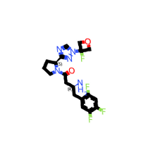 N[C@@H](CC(=O)N1CCC[C@H]1c1ncn(C2(F)COC2)n1)Cc1cc(F)c(F)cc1F